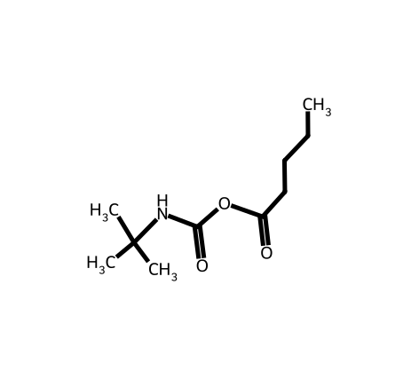 CCCCC(=O)OC(=O)NC(C)(C)C